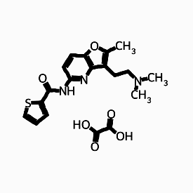 Cc1oc2ccc(NC(=O)c3cccs3)nc2c1CCN(C)C.O=C(O)C(=O)O